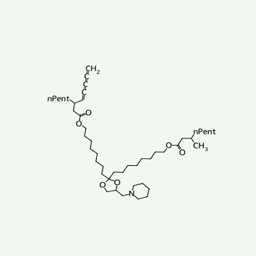 C=C=C=C=CC(CCCCC)CC(=O)OCCCCCCCCC1(CCCCCCCCOC(=O)CC(C)CCCCC)OCC(CN2CCCCC2)O1